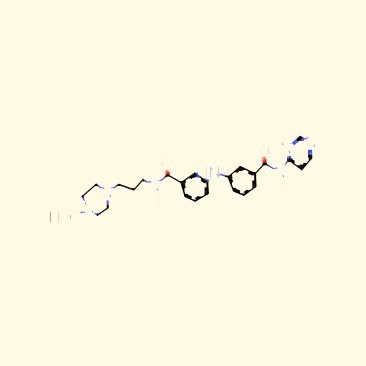 CN1CCN(CCCNC(=O)c2cccc(Nc3cccc(C(=O)Nc4ccncn4)c3)c2)CC1